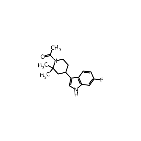 CC(=O)N1CCC(c2c[nH]c3cc(F)ccc23)CC1(C)C